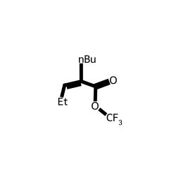 CCC=C(CCCC)C(=O)OC(F)(F)F